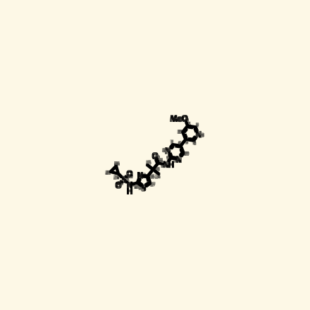 COc1cncc(-c2cnc(NC(=O)C(C)(C)c3csc(NS(=O)(=O)C4CC4)n3)nc2)c1